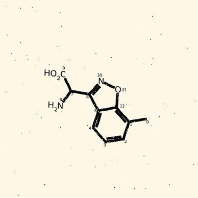 Cc1cccc2c(C(N)C(=O)O)noc12